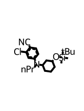 CCCN(c1ccc(C#N)c(Cl)c1)C1CCCC(O[Si](C)(C)C(C)(C)C)C1